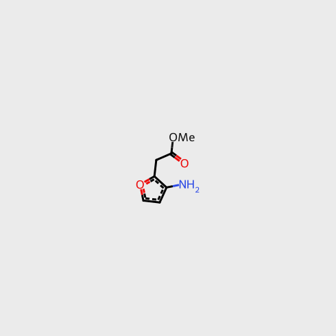 COC(=O)Cc1occc1N